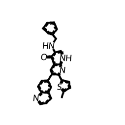 Cc1ccc(-c2nc3[nH]cc(NCc4ccccc4)c(=O)c3cc2-c2ccc3ncccc3c2)s1